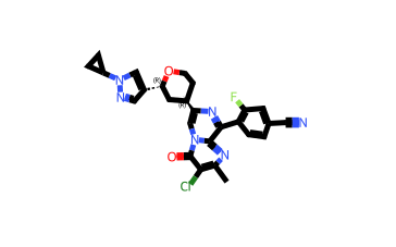 Cc1nc2c(-c3ccc(C#N)cc3F)nc([C@@H]3CCO[C@@H](c4cnn(C5CC5)c4)C3)cn2c(=O)c1Cl